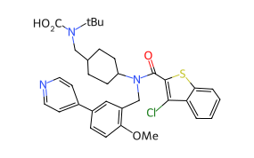 COc1ccc(-c2ccncc2)cc1CN(C(=O)c1sc2ccccc2c1Cl)C1CCC(CN(C(=O)O)C(C)(C)C)CC1